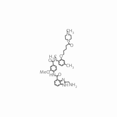 COc1cc(C(=O)N(C)c2ccc(C)cc2OCCCCC(=O)N2CCN(C)CC2)ccc1NC(=O)c1cccc2[nH]c(CN)nc12